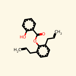 C=CCc1cccc(CC=C)c1OC(=O)c1ccccc1O